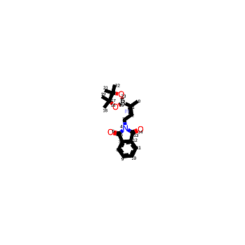 C/C(=C/CN1C(=O)c2ccccc2C1=O)B1OC(C)(C)C(C)(C)O1